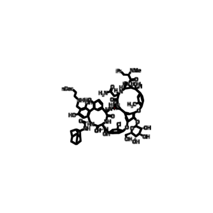 CCCCCCCCCCCCNCc1c(O)cc2c(c1O)-c1cc(ccc1O)[C@H]1NC(=O)[C@@H]3NC(=O)[C@H](CC(N)=O)NC(=O)[C@H](NC(=O)[C@@H](CC(C)C)NC)[C@H](O)c4ccc(c(C)c4)Oc4cc3cc(c4O[C@@H]3O[C@H](CO)[C@@H](O)[C@H](O)[C@H]3O)Oc3ccc(cc3Cl)[C@@H](O)[C@H](NC1=O)C(=O)N[C@@H]2C(=O)NC1C2CC3CC(C2)CC1C3